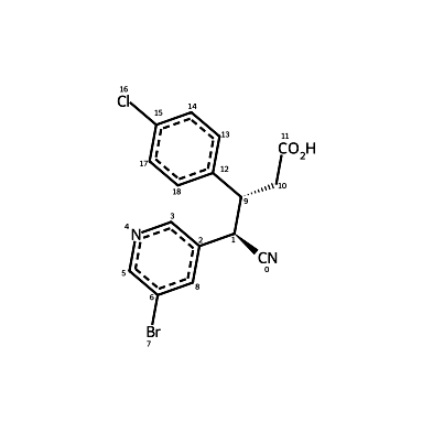 N#C[C@@H](c1cncc(Br)c1)[C@@H](CC(=O)O)c1ccc(Cl)cc1